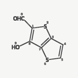 O=Cc1sc2ccsc2c1O